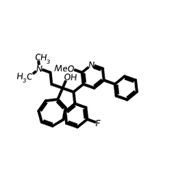 COc1ncc(-c2ccccc2)cc1C(c1cccc(F)c1)C(O)(CCN(C)C)C1=CCC=CC=C1